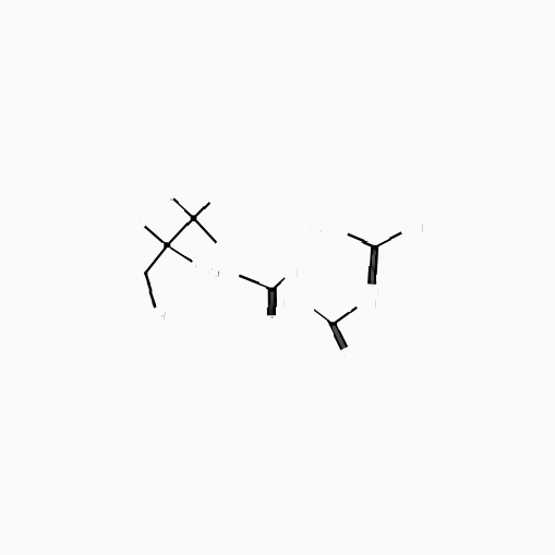 C=C(C)C(=O)O.C=C(C)C(=O)O.C=C(C)C(=O)O.CCC(C)(CO)C(O)(O)I